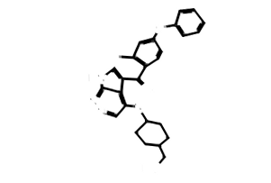 O=C(c1ccc(Oc2ccccc2)cc1Cl)c1c[nH]c2nncc(NC3CCC(CO)CC3)c12